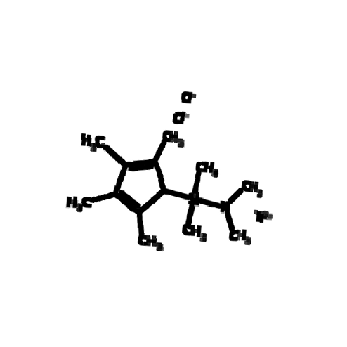 CC1=C(C)C([Si](C)(C)N(C)C)C(C)=C1C.[Cl-].[Cl-].[Ti+2]